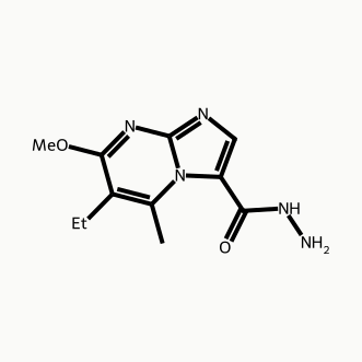 CCc1c(OC)nc2ncc(C(=O)NN)n2c1C